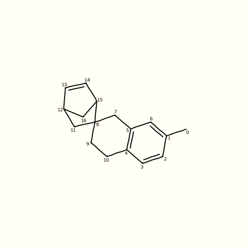 Cc1ccc2c(c1)CC1(CC2)CC2C=CC1C2